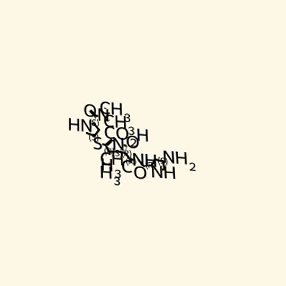 C[C@@H](NC(=O)[C@H]1C[C@H](N)CN1)[C@H]1C(=O)N2C(C(=O)O)=C(S[C@@H]3CN[C@H](C(=O)N(C)C)C3)[C@H](C)[C@H]12